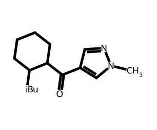 CCC(C)C1CCCCC1C(=O)c1cnn(C)c1